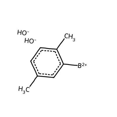 [B+2]c1cc(C)ccc1C.[OH-].[OH-]